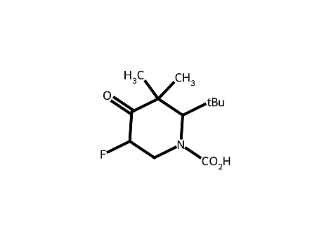 CC(C)(C)C1N(C(=O)O)CC(F)C(=O)C1(C)C